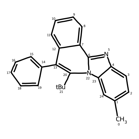 Cc1ccc2nc3c4ccccc4c(-c4ccccc4)c(C(C)(C)C)n3c2c1